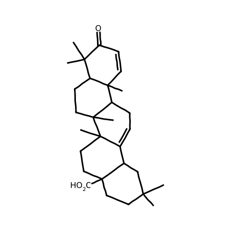 CC1(C)CCC2(C(=O)O)CCC3(C)C(=CCC4C5(C)C=CC(=O)C(C)(C)C5CCC43C)C2C1